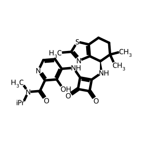 Cc1nc2c(s1)CCC(C)(C)[C@H]2Nc1c(Nc2ccnc(C(=O)N(C)C(C)C)c2O)c(=O)c1=O